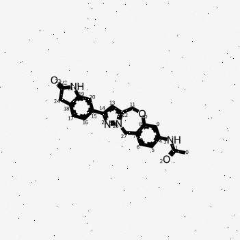 CC(=O)Nc1ccc2c(c1)OCc1cc(-c3ccc4c(c3)NC(=O)C4)nn1C2